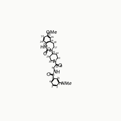 CNc1cccc(C(=O)NCC(=O)N2CCC(N3CCc4cc(OC)ccc4NC3=O)CC2)c1